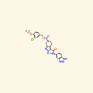 O=C(Nc1ccc2[nH]nnc2c1)c1[nH]nc2c1CCN(C(=O)OCc1ccc(OC(F)(F)F)c(Cl)c1)C2